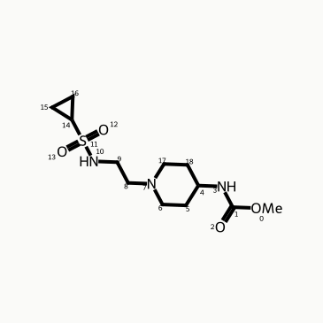 COC(=O)NC1CCN(CCNS(=O)(=O)C2CC2)CC1